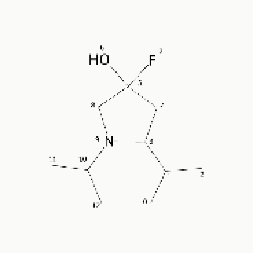 CC(C)C1CC(O)(F)CN1C(C)C